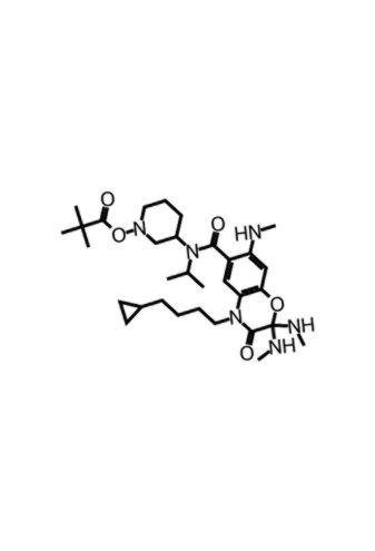 CNc1cc2c(cc1C(=O)N(C(C)C)C1CCCN(OC(=O)C(C)(C)C)C1)N(CCCCC1CC1)C(=O)C(NC)(NC)O2